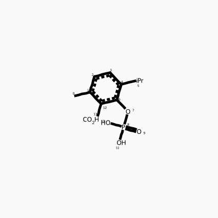 Cc1ccc(C(C)C)c(OP(=O)(O)O)c1C(=O)O